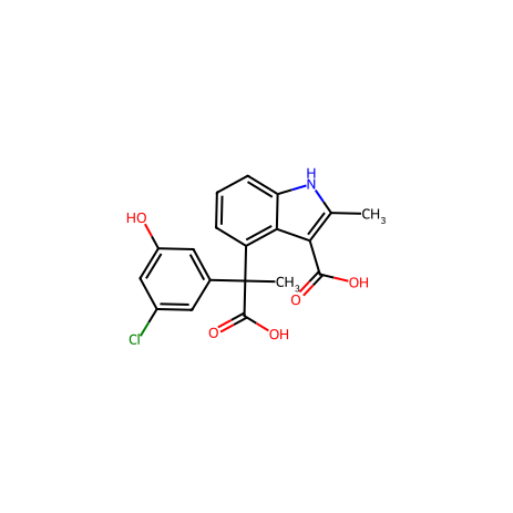 Cc1[nH]c2cccc(C(C)(C(=O)O)c3cc(O)cc(Cl)c3)c2c1C(=O)O